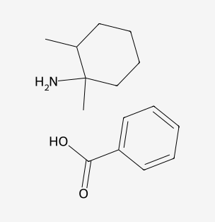 CC1CCCCC1(C)N.O=C(O)c1ccccc1